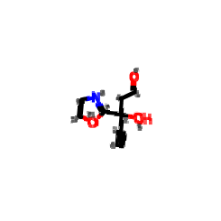 C#CC(O)(CC=O)c1ncco1